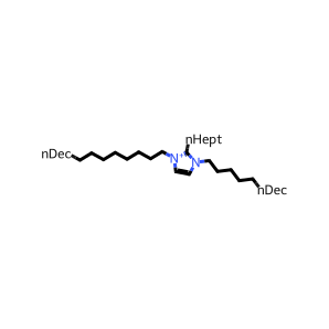 CCCCCCCCCCCCCCCCCC[n+]1ccn(CCCCCCCCCCCCCCC)c1CCCCCCC